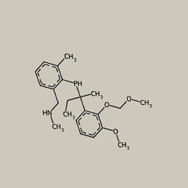 CCC(C)(Pc1c(C)cccc1CNC)c1cccc(OC)c1OCOC